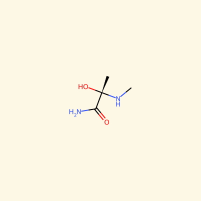 CN[C@@](C)(O)C(N)=O